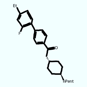 CCCCC[C@H]1CC[C@H](CC(=O)c2ccc(-c3ccc(CC)cc3F)cc2)CC1